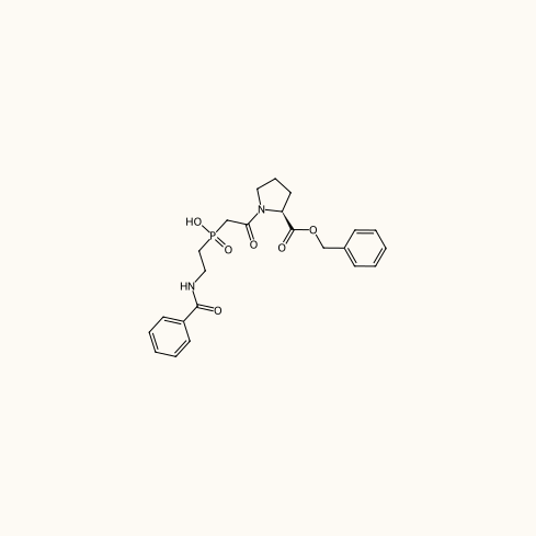 O=C(NCCP(=O)(O)CC(=O)N1CCC[C@H]1C(=O)OCc1ccccc1)c1ccccc1